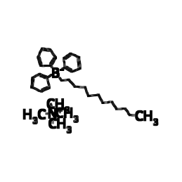 CCCCCCCCCCCC[B-](c1ccccc1)(c1ccccc1)c1ccccc1.C[N+](C)(C)C